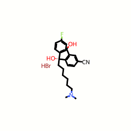 Br.CN(C)CCCCCC[C@@](O)(c1ccc(F)cc1)c1ccc(C#N)cc1CO